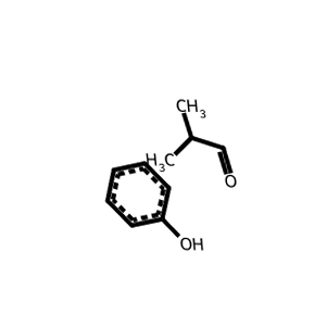 CC(C)C=O.Oc1ccccc1